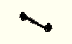 O=C(CCCCCCCCCCCCCCCCCCC(=O)ON1C(=O)CCC1=O)ON1C(=O)CCC1=O